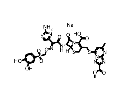 COC(=O)c1nc2nc(C)cc(SCC3=C(C(=O)O)N4C(=O)[C@@H](NC(=O)C(=NOCS(=O)(=O)c5ccc(O)c(O)c5)c5csc(N)n5)[C@H]4SC3)n2n1.[Na]